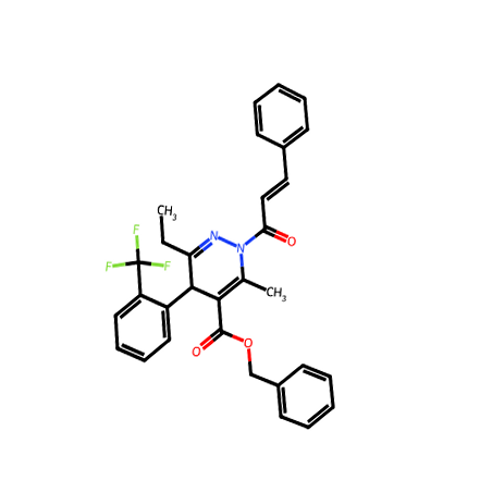 CCC1=NN(C(=O)C=Cc2ccccc2)C(C)=C(C(=O)OCc2ccccc2)C1c1ccccc1C(F)(F)F